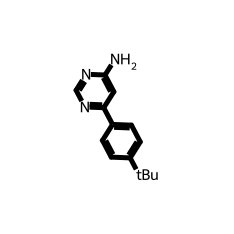 CC(C)(C)c1ccc(-c2cc(N)ncn2)cc1